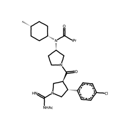 CC(=O)NC(=N)N1C[C@@H](C(=O)N2CC[C@H](N(C(=O)C(C)C)[C@H]3CC[C@@H](C)CC3)C2)[C@H](c2ccc(Cl)cc2)C1